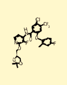 Cc1cc(F)ccc1Oc1cc(C(F)(F)F)c(Cl)cc1C(=O)Nc1ccnc(OC[C@H]2COC(C)(C)O2)c1F